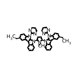 CCc1ccc2c(c1)c1c3ccccc3n(-c3ccc(-n4c5ccccc5c5c6cc(CC)ccc6n(-c6ncccn6)c54)n3C)c1n2-c1ncccn1